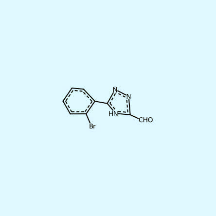 O=Cc1nnc(-c2ccccc2Br)[nH]1